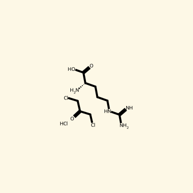 Cl.N=C(N)NCCC[C@H](N)C(=O)O.O=C(CCl)CCl